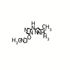 CC(C)c1cc(Nc2cncc(O[C@@H]3CCN(C)C3)n2)n[nH]1